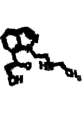 CCNCCn1ncc2cccc(C(=O)CO)c21